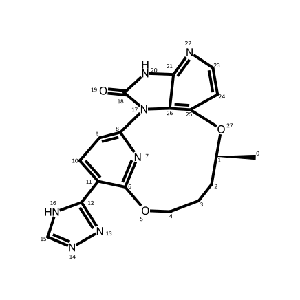 C[C@H]1CCCOc2nc(ccc2-c2nnc[nH]2)-n2c(=O)[nH]c3nccc(c32)O1